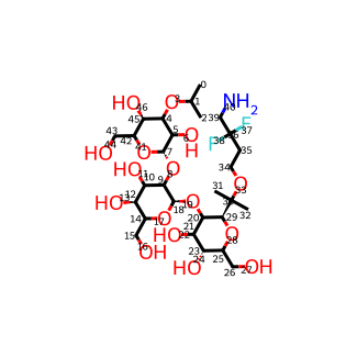 CC(C)OC1C(O)[C@H](OC2C(O)[C@H](O)C(CO)O[C@@H]2OC2C(O)[C@@H](O)C(CO)O[C@@H]2C(C)(C)OCCC(F)(F)CN)OC(CO)[C@H]1O